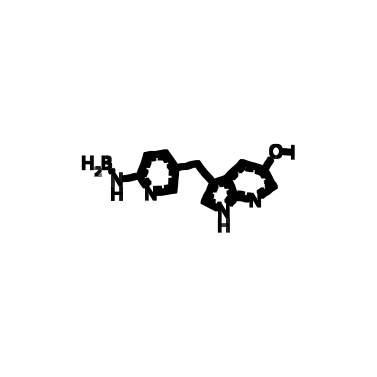 BNc1ccc(Cc2c[nH]c3ncc(OI)cc23)cn1